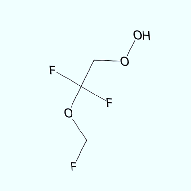 OOCC(F)(F)OCF